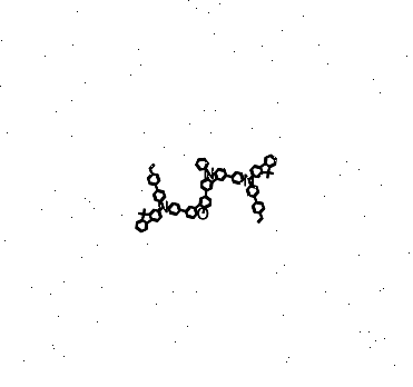 C=Cc1ccc(-c2ccc(N(c3ccc(-c4ccc5oc6ccc(-c7ccc8c(c7)c7cc(-c9ccc(N(c%10ccc(-c%11ccc(C=C)cc%11)cc%10)c%10ccc%11c(c%10)C(C)(C)c%10ccccc%10-%11)cc9)ccc7n8-c7ccccc7)cc6c5c4)cc3)c3ccc4c(c3)C(C)(C)c3ccccc3-4)cc2)cc1